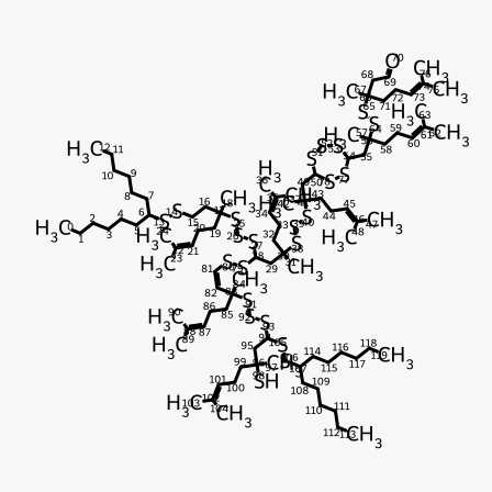 CCCCCCC(CCCCCC)SSCCC(C)(CCC=C(C)C)SSSC(CC(C)(CCC=C(C)C)SSSC(C)(CCC=C(C)C)CC1SSSC(CC(C)(CCC=C(C)C)SSC(C)(CC=O)CCC=C(C)C)SS1)SS/C=C\C(C)(CCC=C(C)C)SSSC(CC(C)(S)CCC=C(C)C)SSC(CCCCCC)CCCCCC